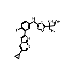 CC(C)(CO)c1nc(Nc2ccc(F)c(-c3cn4cc(C5CC5)cnc4n3)c2)no1